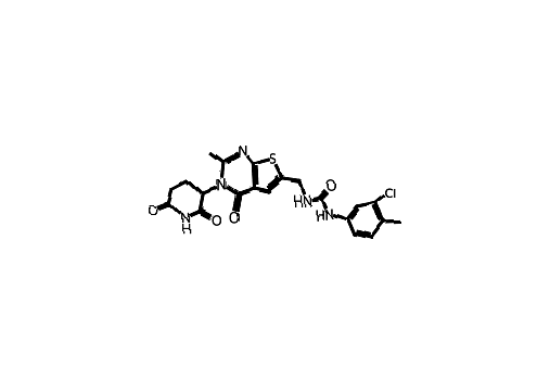 Cc1ccc(NC(=O)NCc2cc3c(=O)n(C4CCC(=O)NC4=O)c(C)nc3s2)cc1Cl